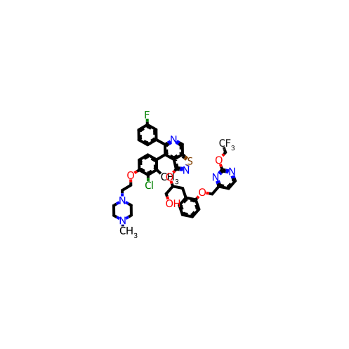 Cc1c(-c2c(-c3cccc(F)c3)ncc3snc(OC(CO)Cc4ccccc4OCc4ccnc(OCC(F)(F)F)n4)c23)ccc(OCCN2CCN(C)CC2)c1Cl